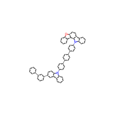 c1ccc(-c2cccc(-c3ccc4c(c3)c3ccccc3n4-c3ccc(-c4ccc(-c5ccc(-n6c7ccccc7c7ccc8oc9ccccc9c8c76)cc5)cc4)cc3)c2)cc1